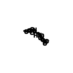 CCOc1ccc(Oc2ccc(/C=C/[C@H](C)NC(=O)Oc3ccc([N+](=O)[O-])cc3)cn2)c(Cl)c1